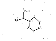 CCCCCC(C)[SiH]1CCCCO1